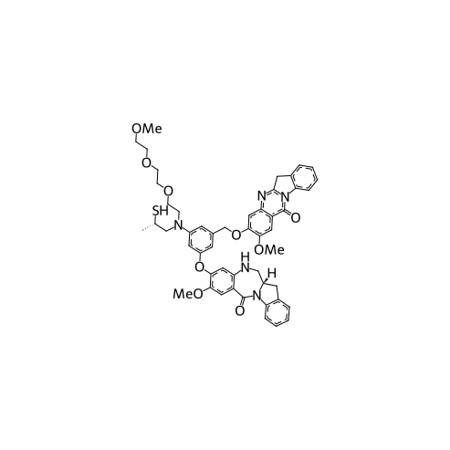 COCCOCCOCCN(C[C@H](C)S)c1cc(COc2cc3nc4n(c(=O)c3cc2OC)-c2ccccc2C4)cc(Oc2cc3c(cc2OC)C(=O)N2c4ccccc4C[C@H]2CN3)c1